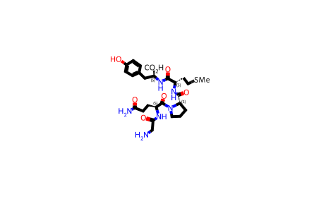 CSCC[C@H](NC(=O)[C@@H]1CCCN1C(=O)[C@H](CCC(N)=O)NC(=O)CN)C(=O)N[C@@H](Cc1ccc(O)cc1)C(=O)O